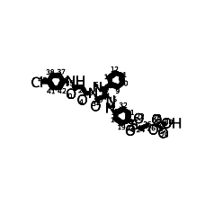 O=C(CC(=O)N1N=C(c2ccccc2)C(N=Nc2ccc(S(=O)(=O)CCOS(=O)(=O)O)cc2)C1=O)Nc1ccc(Cl)cc1